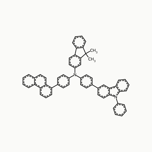 CC1(C)c2ccccc2-c2ccc(N(c3ccc(-c4ccc5c(c4)c4ccccc4n5-c4ccccc4)cc3)c3ccc(-c4cccc5c4ccc4ccccc45)cc3)cc21